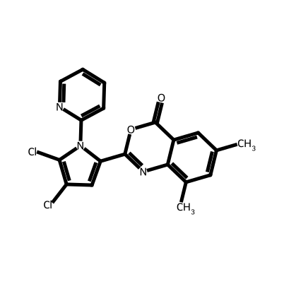 Cc1cc(C)c2nc(-c3cc(Cl)c(Cl)n3-c3ccccn3)oc(=O)c2c1